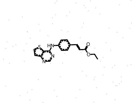 CCOC(=O)C=Cc1ccc(Nc2ncnc3ccsc23)cc1